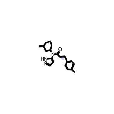 C=C1CCCC(N(C(=O)/C=C/c2ccc(C)cc2)c2ccn[nH]2)C1